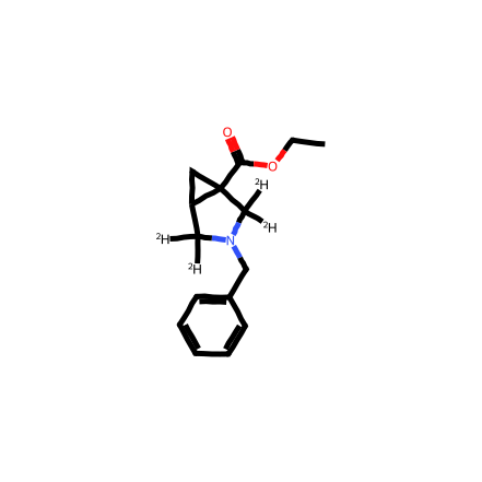 [2H]C1([2H])C2CC2(C(=O)OCC)C([2H])([2H])N1Cc1ccccc1